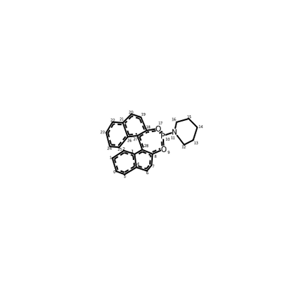 c1ccc2c(c1)ccc1op(N3CCCCC3)oc3ccc4ccccc4c3c12